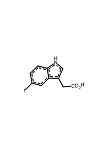 O=C(O)Cc1c[nH]c2ccc(I)cc12